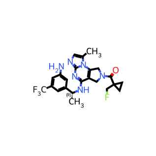 Cc1cnc2nc(N[C@H](C)c3cc(N)cc(C(F)(F)F)c3)c3c(n12)CN(C(=O)C1(CF)CC1)C3